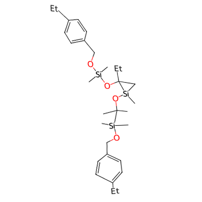 CCc1ccc(CO[Si](C)(C)OC2(CC)C[Si]2(C)OC(C)(C)[Si](C)(C)OCc2ccc(CC)cc2)cc1